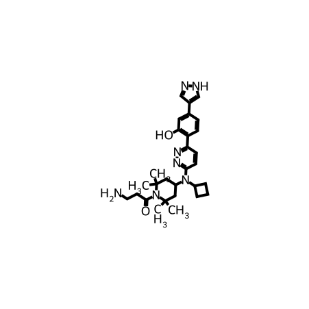 CC1(C)CC(N(c2ccc(-c3ccc(-c4cn[nH]c4)cc3O)nn2)C2CCC2)CC(C)(C)N1C(=O)CCN